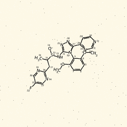 COc1cccc(OC)c1-n1c(N[S+]([O-])C(C)Cc2ncc(F)cn2)nnc1-c1ccncn1